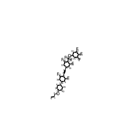 C=CCOc1ccc(-c2cc(F)c(C#Cc3cc(F)c(C(F)(F)Oc4cc(F)c(F)c(F)c4)c(F)c3)c(F)c2)cc1